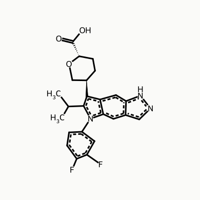 CC(C)c1c([C@@H]2CC[C@@H](C(=O)O)OC2)c2cc3[nH]ncc3cc2n1-c1ccc(F)c(F)c1